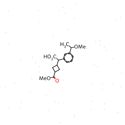 COC(=O)C1CC(C(C(=O)O)c2cccc(C(C)OC)c2)C1